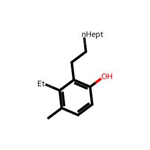 CCCCCCCCCc1c(O)ccc(C)c1CC